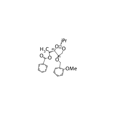 COc1ccccc1CO[C@@H]1CO[C@H](C(C)C)O[C@@H]1C(C)OC(=O)c1ccccc1